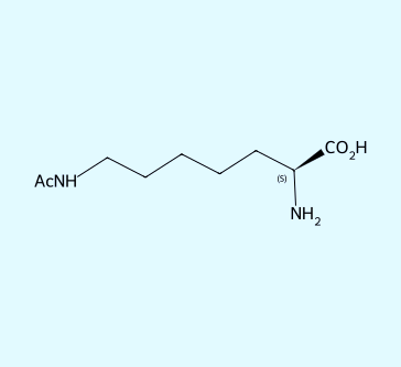 CC(=O)NCCCCC[C@H](N)C(=O)O